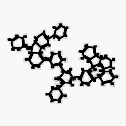 c1ccc(-c2ccc3c(c2)c2c(-c4cccc(-c5nc(-c6ccccc6)nc(-c6ccc(-c7ccccc7)c(-n7c8ccccc8c8ccccc87)c6)n5)c4)cccc2n3-c2ccccc2)cc1